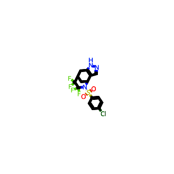 O=S(=O)(c1ccc(Cl)cc1)N1C2CC(Cc3[nH]ncc32)C(F)(F)C1(F)F